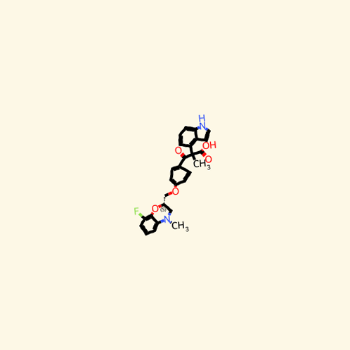 CN1C[C@@H](COc2ccc(C(=O)C(C)(C(=O)O)c3cccc4[nH]ccc34)cc2)Oc2c(F)cccc21